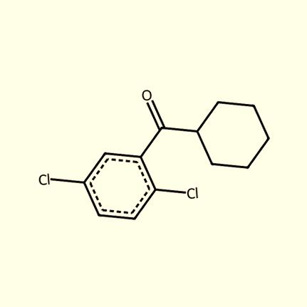 O=C(c1cc(Cl)ccc1Cl)C1CCCCC1